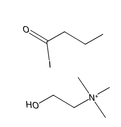 CCCC(=O)I.C[N+](C)(C)CCO